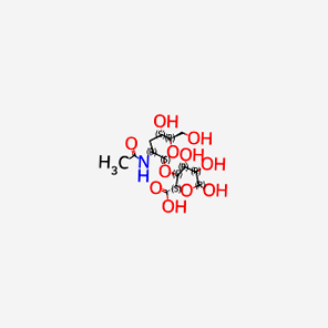 CC(=O)N[C@@H]1C[C@H](O)[C@@H](CO)O[C@H]1O[C@H]1[C@H](O)[C@@H](O)[C@H](O)O[C@@H]1C(=O)O